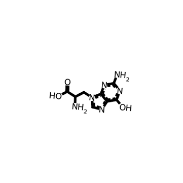 Nc1nc(O)c2ncn(CC(N)C(=O)O)c2n1